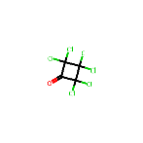 O=C1C(Cl)(Cl)C(Cl)(Cl)C1(Cl)Cl